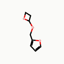 c1coc(COC2CCO2)c1